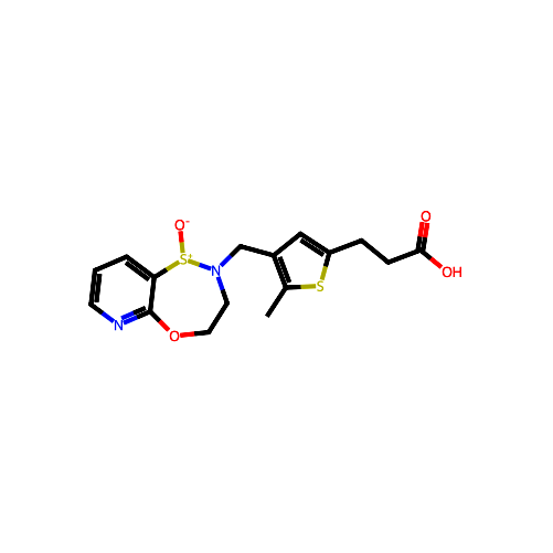 Cc1sc(CCC(=O)O)cc1CN1CCOc2ncccc2[S+]1[O-]